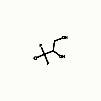 [O]C(F)(F)C(O)CO